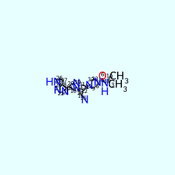 CC[C@H](C)NC(=O)N1CCN([C@H]2C[C@](CC#N)(n3cc(-c4ncnc5[nH]ccc45)cn3)C2)CC1